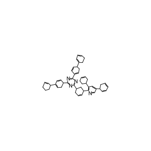 C1=CCCC(C2C=CC(c3nc(C4C=CC(C5C=CCCC5)=CC4)nc(C4CC=CC(c5ncc(C6C=CC=CC6)cc5C5CC=CCC5)C4)n3)=CC2)=C1